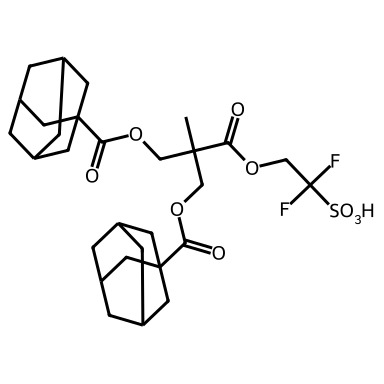 CC(COC(=O)C12CC3CC(CC(C3)C1)C2)(COC(=O)C12CC3CC(CC(C3)C1)C2)C(=O)OCC(F)(F)S(=O)(=O)O